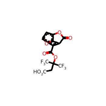 O=C(O)CC(OC(=O)c1c2c3oc1cc3OC2=O)(C(F)(F)F)C(F)(F)F